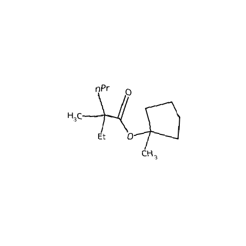 CCCC(C)(CC)C(=O)OC1(C)CCCC1